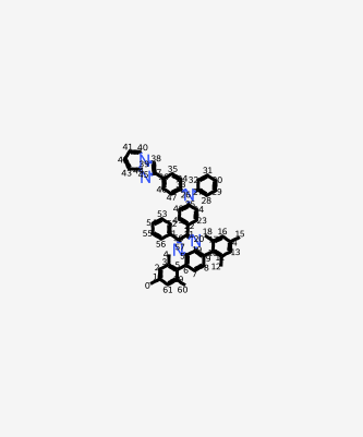 Cc1cc(C)c(-c2ccc(-c3c(C)cc(C)cc3C)c3nc(-c4ccc(N(c5ccccc5)c5ccc(-c6cn7ccccc7n6)cc5)cc4)c(-c4ccccc4)nc23)c(C)c1